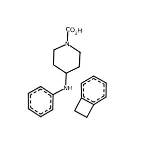 O=C(O)N1CCC(Nc2ccccc2)CC1.c1ccc2c(c1)CC2